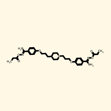 CCC(=O)ON=C(N)c1ccc(OCCCC2CCN(CCCOc3ccc(C(N)=NOC(=O)CC)cc3)CC2)cc1